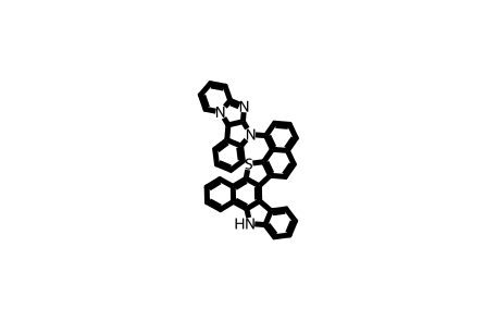 C1=CC2=NC3C(c4ccccc4N3c3cccc4ccc5c(sc6c7ccccc7c7[nH]c8ccccc8c7c56)c34)N2C=C1